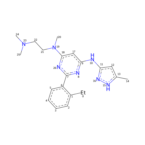 CCc1ccccc1-c1nc(Nc2cc(C)[nH]n2)cc(N(C)CCN(C)C)n1